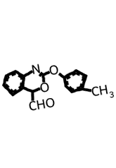 Cc1ccc(OC2=Nc3ccccc3C(C=O)O2)cc1